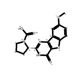 COc1ccc2oc3c(=O)[nH]c([C@@H]4CCCN4C(=O)O)nc3c2c1